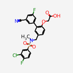 CN(Cc1ccc(OCC(=O)O)c(-c2cc(F)cc(C#N)c2)c1)S(=O)(=O)c1ccc(F)c(Cl)c1